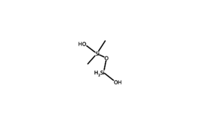 C[Si](C)(O)O[SiH2]O